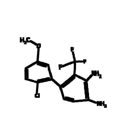 COc1ccc(Cl)c(-c2ccc(N)c(N)c2C(F)(F)F)c1